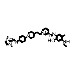 CCNc1cc(O)c(/N=N/c2ccc[n+](CCC3CCN(c4ccc(/N=N/c5n(C)cc[n+]5C)cc4)CC3)c2)cc1C